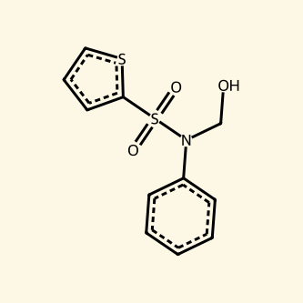 O=S(=O)(c1cccs1)N(CO)c1ccccc1